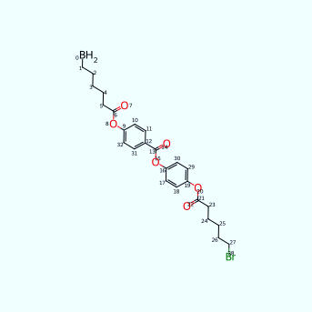 BCCCCCC(=O)Oc1ccc(C(=O)Oc2ccc(OC(=O)CCCCCBr)cc2)cc1